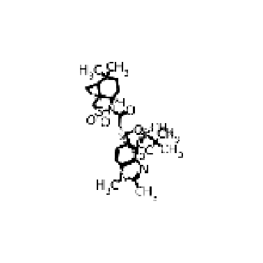 Cc1nc2cc([C@H](CC(=O)N3[C@@H]4CCC(C)(C)C5CC[C@]54CS3(=O)=O)O[Si](C)(C)C(C)(C)C)ccc2n1C